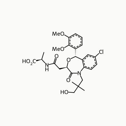 COc1cccc([C@H]2O[C@H](CC(=O)N[C@H](C)C(=O)O)C(=O)N(CC(C)(C)CO)c3ccc(Cl)cc32)c1OC